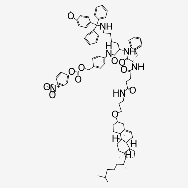 COc1ccc(C(NCCCC[C@@H](NC(=O)[C@H](Cc2ccccc2)NC(=O)CCC(=O)NCCCOC2CC[C@@]3(C)C(=CC[C@H]4[C@@H]5CC[C@H]([C@H](C)CCCC(C)C)[C@@]5(C)CC[C@@H]43)C2)C(=O)Nc2ccc(COC(=O)Oc3ccc([N+](=O)[O-])cc3)cc2)(c2ccccc2)c2ccccc2)cc1